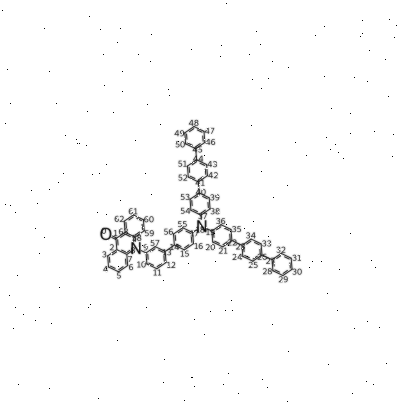 O=c1c2ccccc2n(-c2cccc(-c3ccc(N(c4ccc(-c5ccc(-c6ccccc6)cc5)cc4)c4ccc(-c5ccc(-c6ccccc6)cc5)cc4)cc3)c2)c2ccccc12